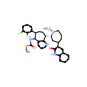 CC(C)(C)OC(=O)NC1c2cccnc2C([C@H]2CC(c3cc4ccccc4[nH]c3=O)CCCN2C(=O)O)CCC1c1cccc(F)c1F